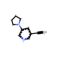 C#Cc1cncc(N2CCCC2)c1